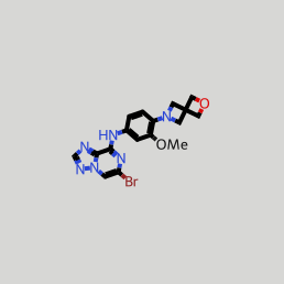 COc1cc(Nc2nc(Br)cn3ncnc23)ccc1N1CC2(COC2)C1